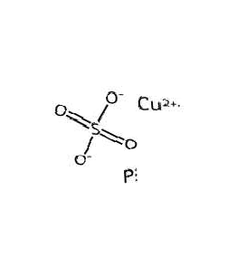 O=S(=O)([O-])[O-].[Cu+2].[P]